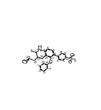 CC1Nc2ccc(-c3ccc(S(C)(=O)=O)cc3)c(Oc3ccccc3)c2CC1CC=O